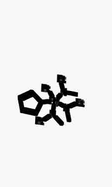 CC[N](C)[Hf]([CH2]C)([CH]1C=CC=C1)([N](C)CC)[N](C)CC